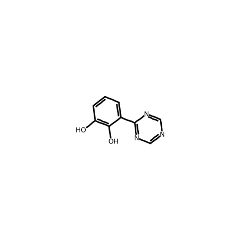 Oc1cccc(-c2ncncn2)c1O